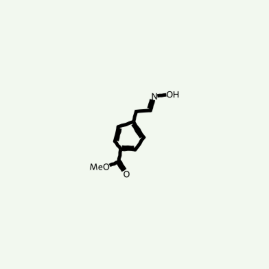 COC(=O)c1ccc(CC=NO)cc1